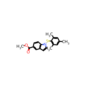 COC(=O)c1ccc2c(ccn2Sc2c(C)cc(C)cc2C)c1